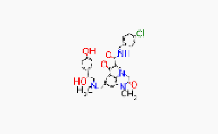 CN(Cc1cc2c3c(c1)c(=O)c(C(=O)NCc1ccc(Cl)cc1)cn3CC(=O)N2C)C[C@@H](O)c1ccc(O)cc1